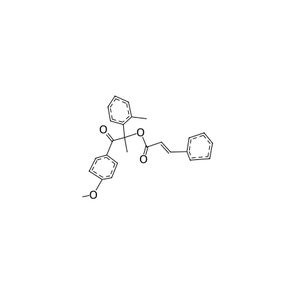 COc1ccc(C(=O)C(C)(OC(=O)C=Cc2ccccc2)c2ccccc2C)cc1